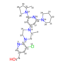 CC1CN(c2ncc(CO)cc2Cl)CCN1c1cc(N2CCCCC2)nc(N2CCCC2C)c1